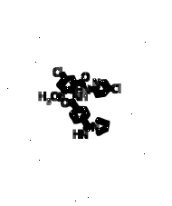 COc1cc(Cl)cc(C(=O)Nc2ccc(Cl)cn2)c1NC(=O)c1ccc(C(=N)N2CCCC2)cc1